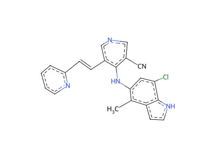 Cc1c(Nc2c(C#N)cncc2C=Cc2ccccn2)cc(Cl)c2[nH]ccc12